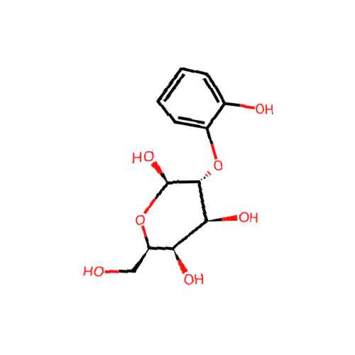 OC[C@H]1O[C@@H](O)[C@H](Oc2ccccc2O)[C@@H](O)[C@H]1O